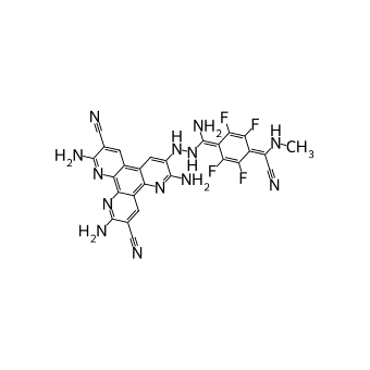 CNC(C#N)=c1c(F)c(F)c(=C(N)NNc2cc3c4cc(C#N)c(N)nc4c4nc(N)c(C#N)cc4c3nc2N)c(F)c1F